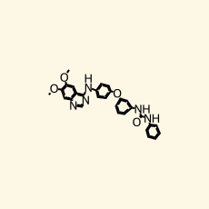 COc1cc2ncnc(Nc3ccc(Oc4cccc(NC(=O)Nc5ccccc5)c4)cc3)c2cc1OC